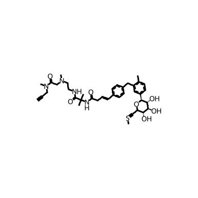 C#CCN(C)C(=O)CN(C)CCNC(=O)C(C)(C)NC(=O)C/C=C/c1ccc(Cc2cc([C@@H]3OC(C#SC)[C@@H](O)[C@H](O)[C@H]3O)ccc2C)cc1